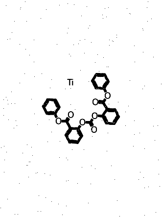 O=C(Oc1ccccc1C(=O)Oc1ccccc1)Oc1ccccc1C(=O)Oc1ccccc1.[Ti]